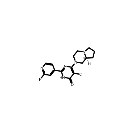 O=c1[nH]c(-c2ccnc(F)c2)nc(N2CCN3CCC[C@H]3C2)c1Cl